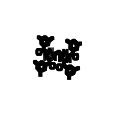 Cc1cc(C)cc(C(=O)c2nc(Cc3nc(C(=O)c4cc(C)cc(C)c4)nc(C(=O)c4cc(C)cc(C)c4)n3)nc(C(=O)c3cc(C)cc(C)c3)n2)c1